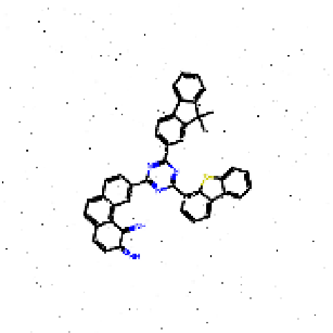 CC1(C)c2ccccc2-c2ccc(-c3nc(-c4ccc5ccc6c(c5c4)C(=N)C(=N)C=C6)nc(-c4cccc5c4sc4ccccc45)n3)cc21